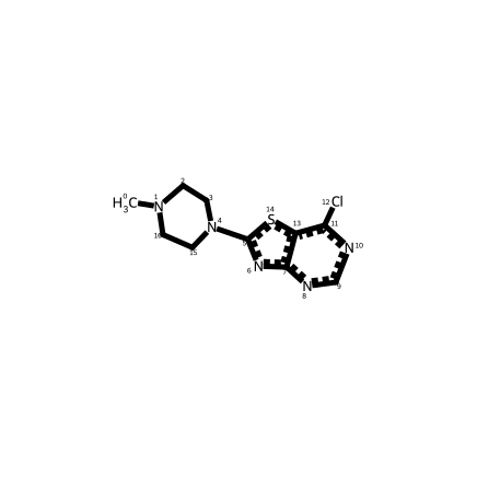 CN1CCN(c2nc3ncnc(Cl)c3s2)CC1